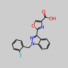 O=C(O)c1coc(-c2nn(Cc3ccccc3F)c3ccccc23)n1